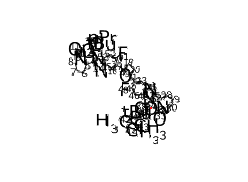 CCCOCn1c(C2CCCN2C(=O)OC(C)(C)C)nc2cc(-c3ccc(-c4cc5nc(C6CCCN6C(=O)OC(C)(C)C)n(COCC[Si](C)(C)C)c5cc4F)o3)c(F)cc21